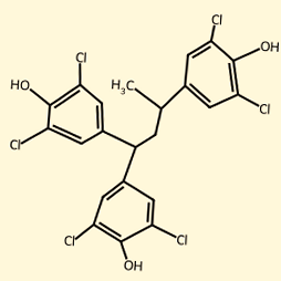 CC(CC(c1cc(Cl)c(O)c(Cl)c1)c1cc(Cl)c(O)c(Cl)c1)c1cc(Cl)c(O)c(Cl)c1